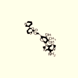 C[C@@]1(O)[C@H](O)[C@@H](COP2(=O)OCC[C@@H](c3cccnc3)O2)O[C@H]1n1cnc2c(N)ncnc21